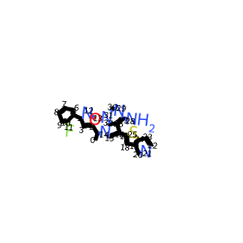 CC(c1cc(-c2ccccc2F)no1)n1cc(-c2cc3cnccc3s2)c2c(N)ncnc21